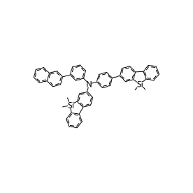 C[Si]1(C)c2ccccc2-c2ccc(-c3ccc(N(c4cccc(-c5ccc6ccccc6c5)c4)c4ccc5c(c4)[Si](C)(C)c4ccccc4-5)cc3)cc21